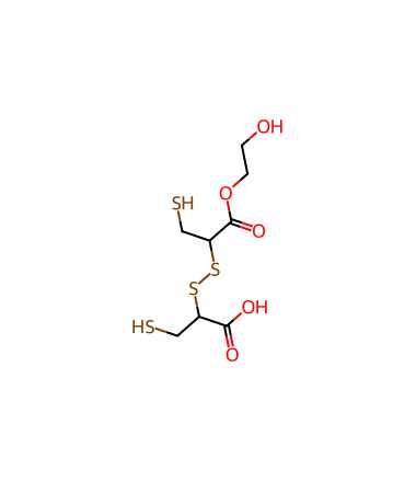 O=C(O)C(CS)SSC(CS)C(=O)OCCO